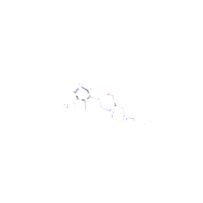 Cc1c(C#N)cncc1C1CN2CCN(C(=O)O)CC2CO1